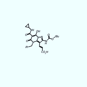 CC(C)Cn1c(=O)c(C(=O)NC2CC2)c(O)n2nc(NC(=O)OC(C)(C)C)c(/C=C/C(=O)O)c12